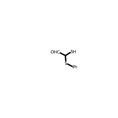 CC(C)SC(S)C=O